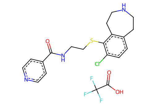 O=C(NCCSc1c(Cl)ccc2c1CCNCC2)c1ccncc1.O=C(O)C(F)(F)F